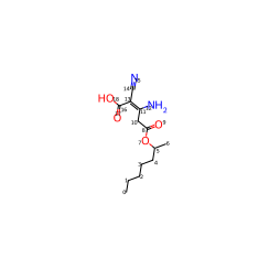 CCCCCC(C)OC(=O)CC(N)=C(C#N)C(=O)O